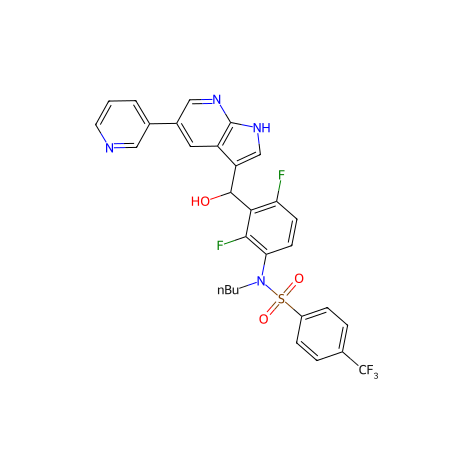 CCCCN(c1ccc(F)c(C(O)c2c[nH]c3ncc(-c4cccnc4)cc23)c1F)S(=O)(=O)c1ccc(C(F)(F)F)cc1